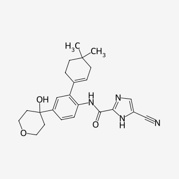 CC1(C)CC=C(c2cc(C3(O)CCOCC3)ccc2NC(=O)c2ncc(C#N)[nH]2)CC1